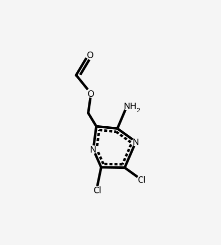 Nc1nc(Cl)c(Cl)nc1COC=O